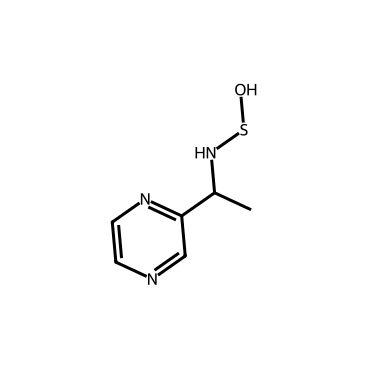 CC(NSO)c1cnccn1